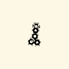 c1ccc(C2(N3CCCCC3)CCCCC2)cc1.c1ccc2nccnc2c1